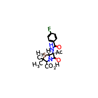 CC(=O)[C@]1(NC(=O)c2ccc(F)cc2)C(=O)N2[C@@H](C(=O)O)C(C)(C)S[C@@H]21